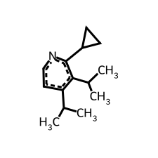 CC(C)c1ccnc(C2CC2)c1C(C)C